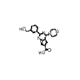 O=C(O)c1cc2c(N3CCOCC3)nc(-c3cccc(CO)c3)nn2c1